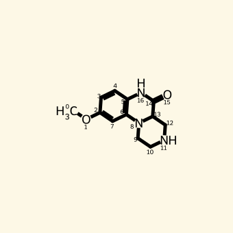 COc1ccc2c(c1)N1CCNCC1C(=O)N2